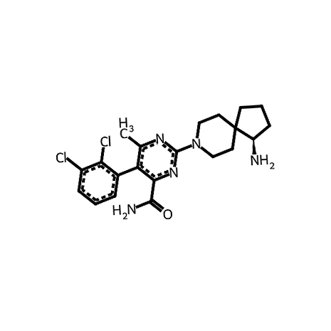 Cc1nc(N2CCC3(CCC[C@H]3N)CC2)nc(C(N)=O)c1-c1cccc(Cl)c1Cl